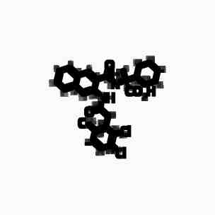 C[C@@](NC(=O)c1cc2ccccc2cc1NC(=O)Cc1c(Cl)ccc(Cl)c1Cl)(C(=O)O)C1CCCCC1